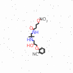 CC(C)(CNC(=O)CCCO[N+](=O)[O-])NCC(O)COc1ccccc1C#N